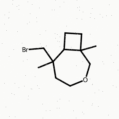 CC1(CBr)CCOCC2(C)CCC12